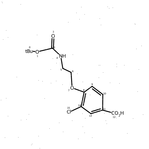 CC(C)(C)OC(=O)NCCOc1ccc(C(=O)O)cc1Cl